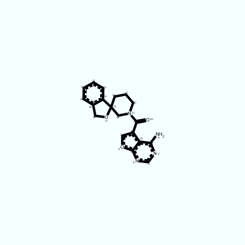 Nc1ncnc2occ(C(=O)N3CCCC4(C3)OCc3ccccc34)c12